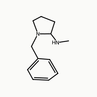 CNC1CCCN1Cc1ccccc1